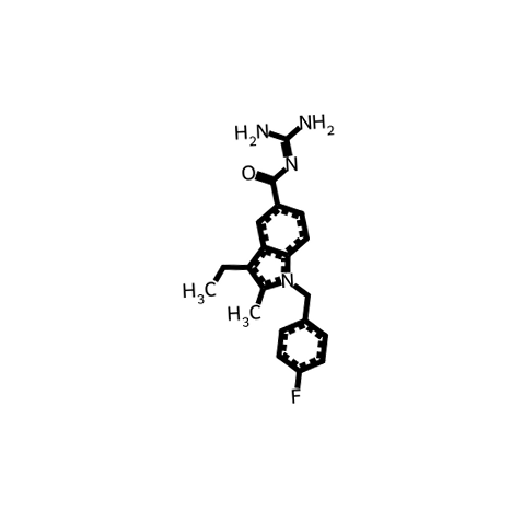 CCc1c(C)n(Cc2ccc(F)cc2)c2ccc(C(=O)N=C(N)N)cc12